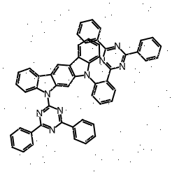 c1ccc(-c2nc(-c3ccccc3)nc(-c3ccccc3-n3c4ccccc4c4cc5c6ccccc6n(-c6nc(-c7ccccc7)nc(-c7ccccc7)n6)c5cc43)n2)cc1